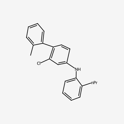 [CH2]CCc1ccccc1Nc1ccc(-c2ccccc2C)c(Cl)c1